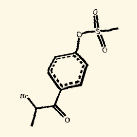 CC(Br)C(=O)c1ccc(OS(C)(=O)=O)cc1